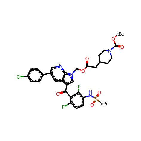 CCCS(=O)(=O)Nc1ccc(F)c(C(=O)c2cn(COC(=O)CC3CCN(C(=O)OC(C)(C)C)CC3)c3ncc(-c4ccc(Cl)cc4)cc23)c1F